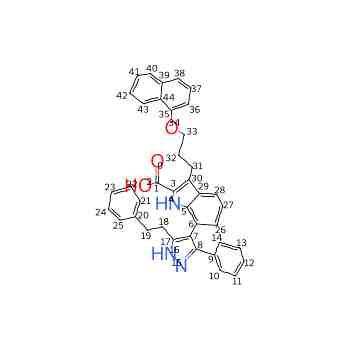 O=C(O)c1[nH]c2c(-c3c(-c4ccccc4)n[nH]c3CCc3ccccc3)cccc2c1CCCOc1cccc2ccccc12